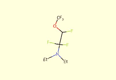 CCN(CC)C(F)(F)C(F)OC(F)(F)F